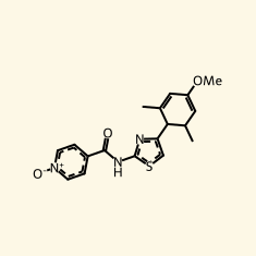 COC1=CC(C)C(c2csc(NC(=O)c3cc[n+]([O-])cc3)n2)C(C)=C1